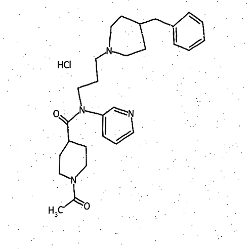 CC(=O)N1CCC(C(=O)N(CCCN2CCC(Cc3ccccc3)CC2)c2cccnc2)CC1.Cl